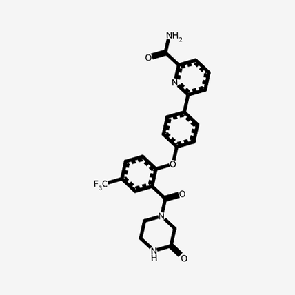 NC(=O)c1cccc(-c2ccc(Oc3ccc(C(F)(F)F)cc3C(=O)N3CCNC(=O)C3)cc2)n1